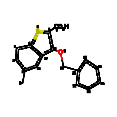 Cc1ccc2sc(C(=O)O)c(OCc3ccccc3)c2c1